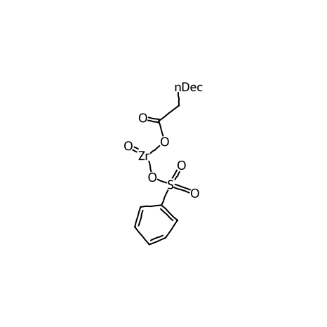 CCCCCCCCCCCC(=O)[O][Zr](=[O])[O]S(=O)(=O)c1ccccc1